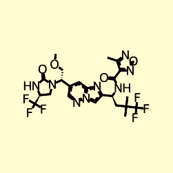 COC[C@H](c1cnn2cc([C@H](CC(C)(C)C(F)(F)F)NC(=O)c3nonc3C)nc2c1)N1C[C@@H](C(F)(F)F)NC1=O